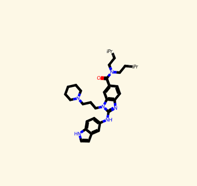 CC(C)CCN(CCC(C)C)C(=O)c1ccc2nc(Nc3ccc4[nH]ccc4c3)n(CCCN3CCCCC3)c2c1